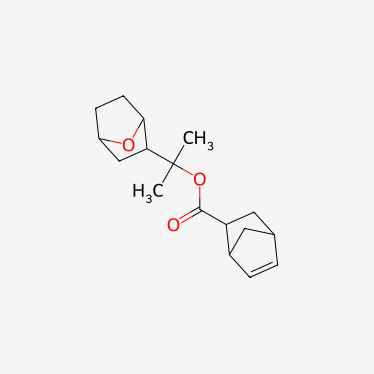 CC(C)(OC(=O)C1CC2C=CC1C2)C1CC2CCC1O2